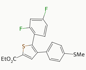 CCOC(=O)c1cc(-c2ccc(SC)cc2)c(-c2ccc(F)cc2F)s1